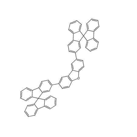 c1ccc2c(c1)-c1ccccc1C21c2ccccc2-c2ccc(-c3ccc4oc5ccc(-c6ccc7c(c6)C6(c8ccccc8-c8ccccc86)c6ccccc6-7)cc5c4c3)cc21